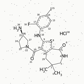 CC1(C)CNC(=O)c2sc(Nc3ccc(I)cc3F)c(C(=O)N3CC[C@@H](N)C3)c2C1.Cl